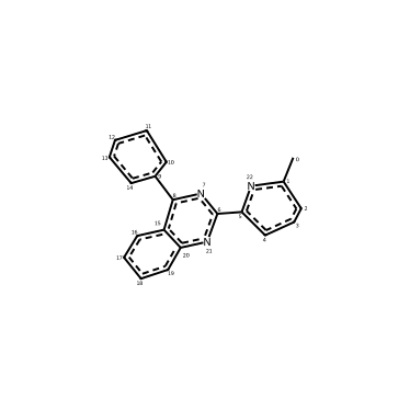 Cc1cccc(-c2nc(-c3ccccc3)c3ccccc3n2)n1